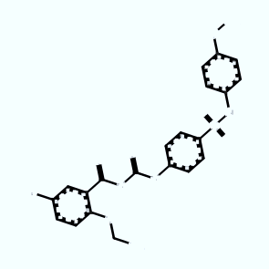 CCOc1ccc(Br)cc1C(=O)NC(=S)Nc1ccc(S(=O)(=O)Nc2ccc(OC)cc2)cc1